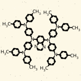 Cc1ccc(N(c2ccc(C)cc2)c2ccc(N(c3ccc(N(c4ccc(C)cc4)c4ccc(C)cc4)cc3)c3ccc(N(c4ccc(N(c5ccc(C)cc5)c5ccc(C)cc5)cc4)c4ccc(N(c5ccc(C)cc5)c5ccc(C)cc5)cc4)c4nccnc34)cc2)cc1